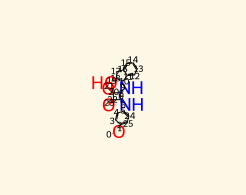 COc1ccc(Nc2c(N[C@H]3c4ccccc4C[C@H]3O)c(=O)c2=O)cc1